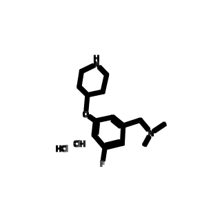 CN(C)Cc1cc(F)cc(OC2CCNCC2)c1.Cl.Cl